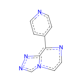 c1cc(-c2nccn3cnnc23)ccn1